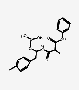 Cc1ccc(C[C@H](NC(=O)C(C)C(=O)Nc2ccccc2)OB(O)O)cc1